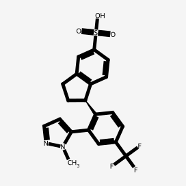 Cn1nccc1-c1cc(C(F)(F)F)ccc1[C@H]1CCc2cc(S(=O)(=O)O)ccc21